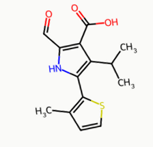 Cc1ccsc1-c1[nH]c(C=O)c(C(=O)O)c1C(C)C